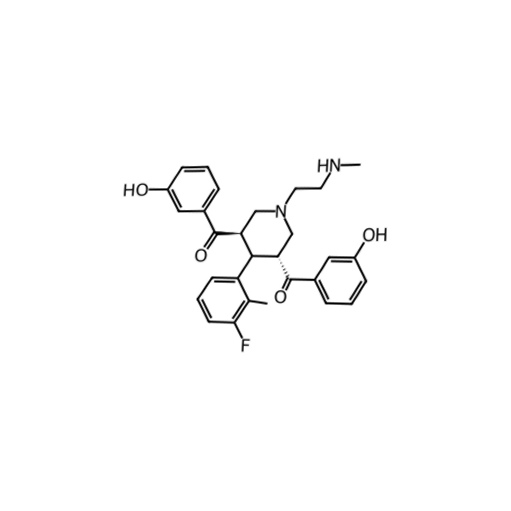 CNCCN1C[C@H](C(=O)c2cccc(O)c2)C(c2cccc(F)c2C)[C@@H](C(=O)c2cccc(O)c2)C1